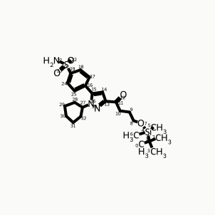 CC(C)(C)[Si](C)(C)OCCCC(=O)c1cc(-c2ccc(S(N)(=O)=O)cc2)n(C2CCCCC2)n1